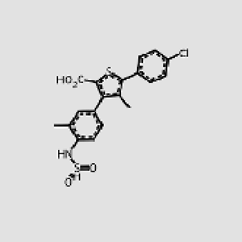 Cc1cc(-c2c(C(=O)O)sc(-c3ccc(Cl)cc3)c2C)ccc1N[SH](=O)=O